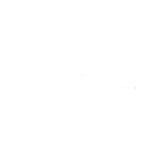 O=S(=O)(O)OCCOCCOCCO